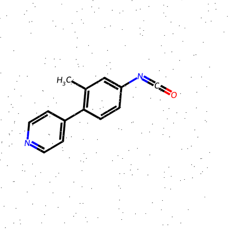 Cc1cc(N=C=O)ccc1-c1ccncc1